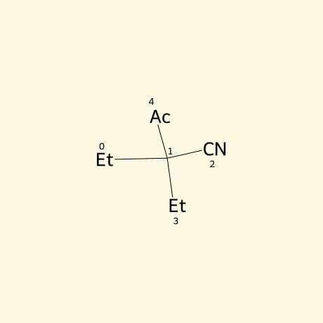 CCC(C#N)(CC)C(C)=O